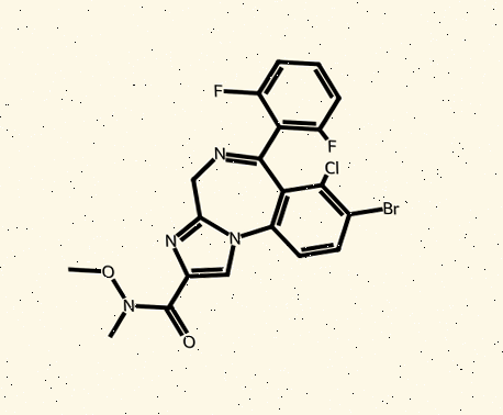 CON(C)C(=O)c1cn2c(n1)CN=C(c1c(F)cccc1F)c1c-2ccc(Br)c1Cl